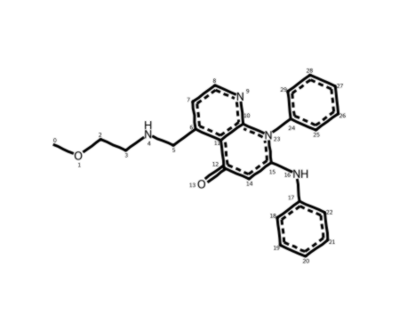 COCCNCc1ccnc2c1c(=O)cc(Nc1ccccc1)n2-c1ccccc1